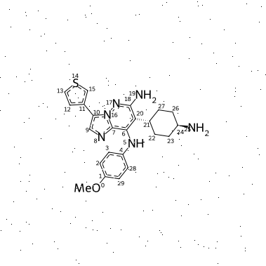 COc1ccc(Nc2c3ncc(-c4ccsc4)n3nc(N)c2[C@H]2CC[C@H](N)CC2)cc1